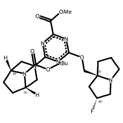 COC(=O)c1nc(OC[C@@]23CCCN2C[C@H](F)C3)nc(N2C[C@H]3CC[C@@H](C2)N3C(=O)OC(C)(C)C)n1